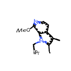 COc1nccc2c(C)c(C)n(CC(C)C)c12